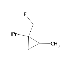 CC(C)C1(CF)CC1C